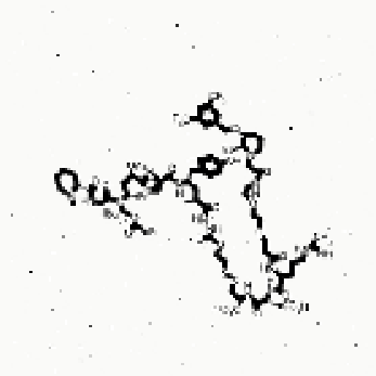 CCCC(=O)OCN(C(=O)C(NC(=O)[C@H]1CCCCN1C)[C@@H](C)CC)[C@H](C[C@@H](OC(C)=O)c1nc(C(=O)N[C@@H](Cc2ccc(O)cc2)C[C@H](C)C(=O)NNC(=O)OCCSSC[C@H](NC(=O)[C@@H](CC(=O)O)NC(=O)C(CCCNC(=N)N)NC(=O)CCOCCOCCNC(=O)CN2CCC[C@H](OCc3cc(C(F)(F)F)cc(C(F)(F)F)c3)[C@@H]2CC)C(=O)O)cs1)C(C)C